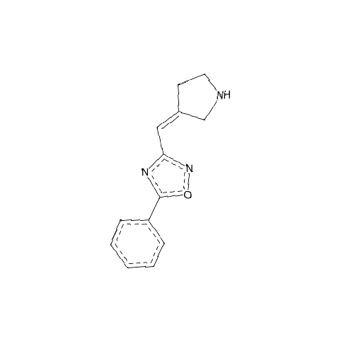 C(=C1CCNC1)c1noc(-c2ccccc2)n1